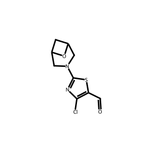 O=Cc1sc(N2CC3CC(C2)O3)nc1Cl